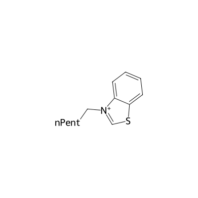 CCCCCC[n+]1csc2ccccc21